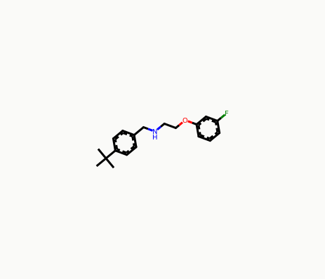 CC(C)(C)c1ccc(CNCCOc2cccc(F)c2)cc1